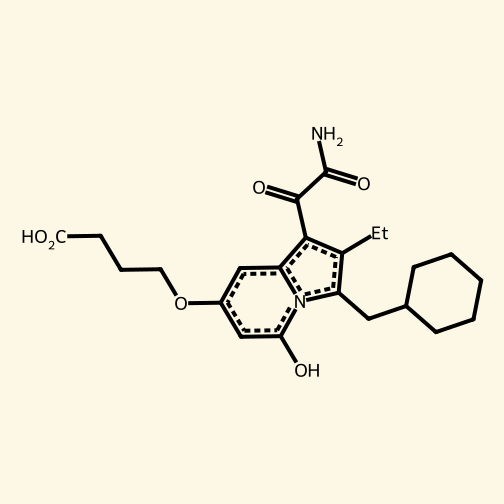 CCc1c(C(=O)C(N)=O)c2cc(OCCCC(=O)O)cc(O)n2c1CC1CCCCC1